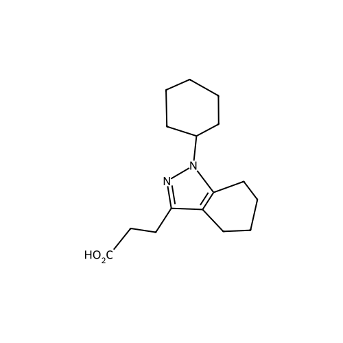 O=C(O)CCc1nn(C2CCCCC2)c2c1CCCC2